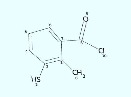 Cc1c(S)cccc1C(=O)Cl